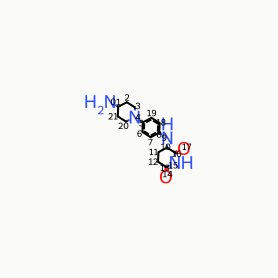 NC1CCN(c2ccc(NC3CCC(=O)NC3=O)cc2)CC1